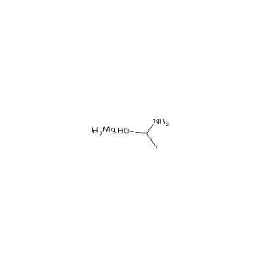 CC(N)O.[MgH2]